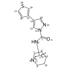 O=C(NC1CC2CCN(CC2)C1)n1cc(-c2ccsc2)cn1